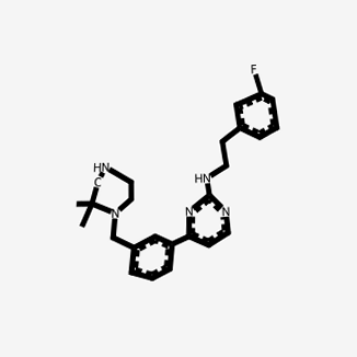 CC1(C)CNCCN1Cc1cccc(-c2ccnc(NCCc3cccc(F)c3)n2)c1